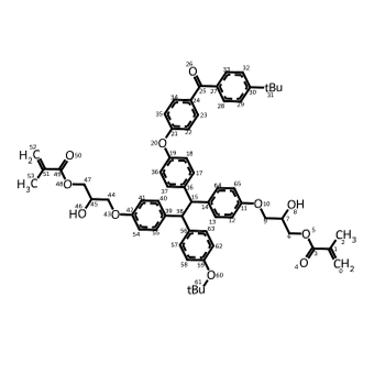 C=C(C)C(=O)OCC(O)COc1ccc(C(c2ccc(Oc3ccc(C(=O)c4ccc(C(C)(C)C)cc4)cc3)cc2)C(c2ccc(OCC(O)COC(=O)C(=C)C)cc2)c2ccc(OC(C)(C)C)cc2)cc1